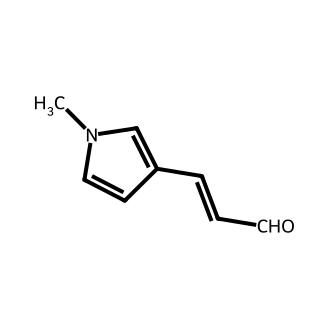 Cn1ccc(/C=C/C=O)c1